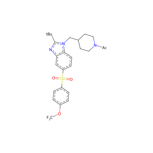 CC(=O)N1CCC(Cn2c(C(C)(C)C)nc3cc(S(=O)(=O)c4ccc(OC(F)(F)F)cc4)ccc32)CC1